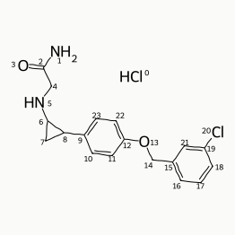 Cl.NC(=O)CNC1CC1c1ccc(OCc2cccc(Cl)c2)cc1